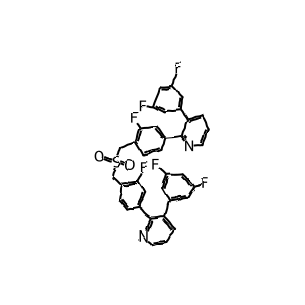 O=S(=O)(Cc1ccc(-c2ncccc2-c2cc(F)cc(F)c2)cc1F)Cc1ccc(-c2ncccc2-c2cc(F)cc(F)c2)cc1F